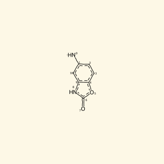 [NH]c1ccc2oc(=O)[nH]c2c1